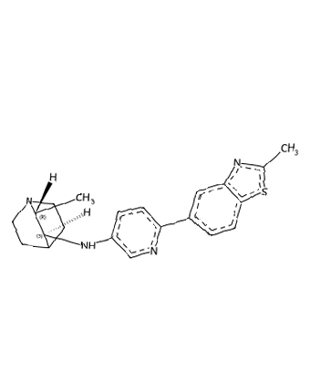 Cc1nc2cc(-c3ccc(N[C@H]4C5CCN(CC5)[C@@H]4C)cn3)ccc2s1